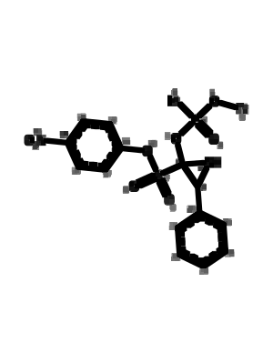 CCOP(=O)(CC)OC1(S(=O)(=O)Oc2ccc([N+](=O)[O-])cc2)NC1c1ccccc1